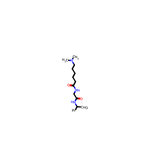 CC(C)C(C=O)NC(=O)CNC(=O)CCCCCN(C)C